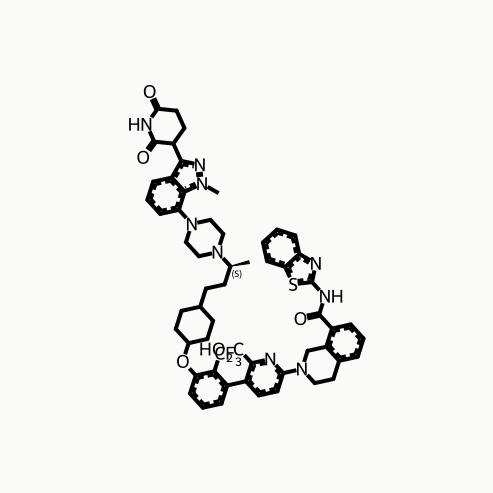 C[C@@H](CCC1CCC(Oc2cccc(-c3ccc(N4CCc5cccc(C(=O)Nc6nc7ccccc7s6)c5C4)nc3C(=O)O)c2C(F)(F)F)CC1)N1CCN(c2cccc3c(C4CCC(=O)NC4=O)nn(C)c23)CC1